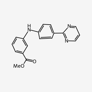 COC(=O)c1cccc(Nc2ccc(-c3ncccn3)cc2)c1